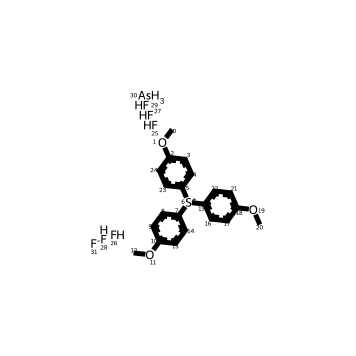 COc1ccc([S+](c2ccc(OC)cc2)c2ccc(OC)cc2)cc1.F.F.F.F.F.[AsH3].[F-]